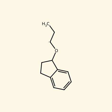 CC[CH]OC1CCc2ccccc21